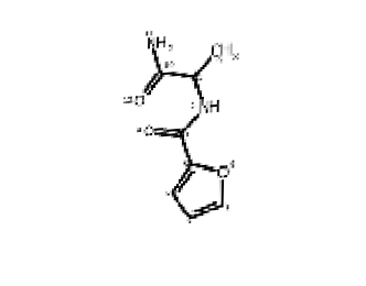 CC(NC(=O)c1ccco1)C(N)=O